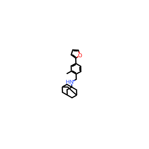 Cc1cc(-c2ccco2)ccc1CNC12CC3CC(CC(C3)C1)C2